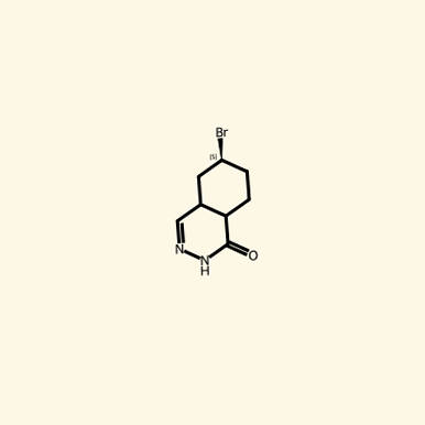 O=C1NN=CC2C[C@@H](Br)CCC12